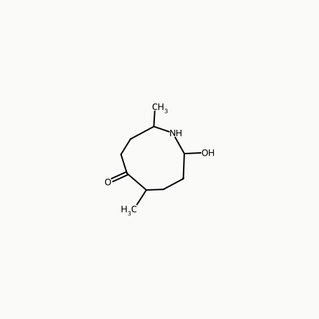 CC1CCC(=O)C(C)CCC(O)N1